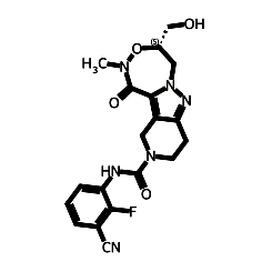 CN1O[C@H](CO)Cn2nc3c(c2C1=O)CN(C(=O)Nc1cccc(C#N)c1F)CC3